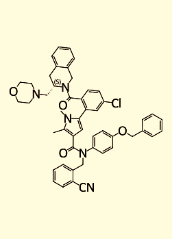 Cc1c(C(=O)N(Cc2ccccc2C#N)c2ccc(OCc3ccccc3)cc2)cc(-c2cc(Cl)ccc2C(=O)N2Cc3ccccc3C[C@H]2CN2CCOCC2)n1C